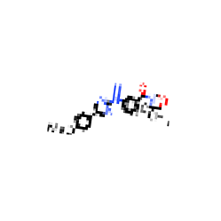 COc1ccc(-c2cnc(Nc3cccc(C(=O)N4COCC4(C)C)c3)nc2)cc1